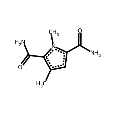 Cc1cc(C(N)=O)n(C)c1C(N)=O